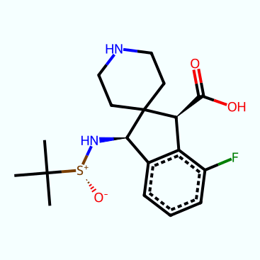 CC(C)(C)[S@@+]([O-])N[C@@H]1c2cccc(F)c2[C@H](C(=O)O)C12CCNCC2